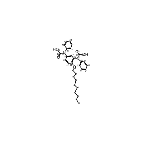 CCCCCCCCCCOc1ccc(N(C(=O)O)c2ccccc2)cc1N(C(=O)O)c1ccccc1